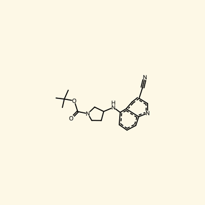 CC(C)(C)OC(=O)N1CCC(Nc2cccc3ncc(C#N)cc23)C1